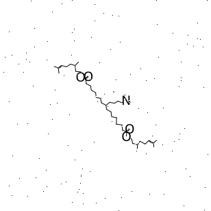 CC(C)=CCCC(C)CCOC(=O)CCCCCCCC(CCCCCCCC(=O)OCCC(C)CCC=C(C)C)CCCCN(C)C